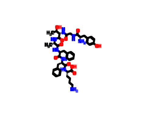 C[C@H](NC(=O)[C@@H](NC(=O)CNC(=O)[C@@H](N)Cc1ccc(O)cc1)[C@@H](C)O)C(=O)N[C@@H](Cc1ccccc1)C(=O)N[C@@H](Cc1ccccc1)C(=O)N[C@@H](CCCCN)C(=O)O